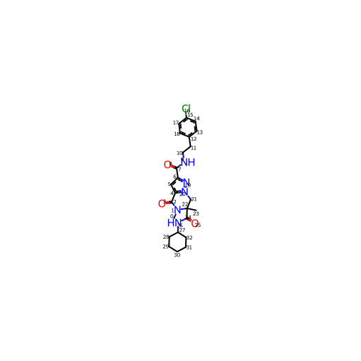 CN1C(=O)c2cc(C(=O)NCCc3ccc(Cl)cc3)nn2CC1(C)C(=O)NC1CCCCC1